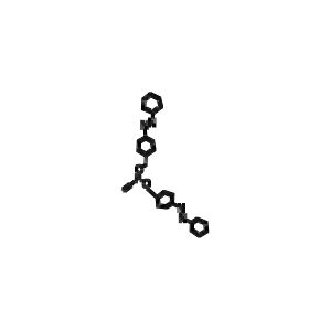 C#CP(OCc1ccc(/N=N/c2ccccc2)cc1)OCc1ccc(/N=N/c2ccccc2)cc1